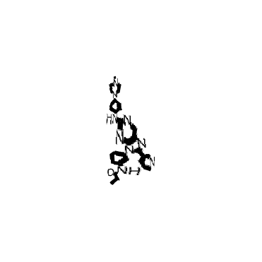 C=CC(=O)Nc1cccc(-n2c(-c3cccnc3)nc3cnc(Nc4ccc(N5CCN(C)CC5)cc4)nc32)c1